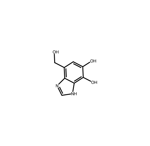 OCc1cc(O)c(O)c2[nH]cnc12